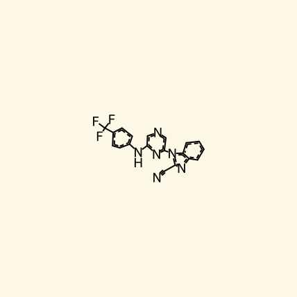 N#Cc1nc2ccccc2n1-c1cncc(Nc2ccc(C(F)(F)F)cc2)n1